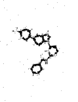 C[C@H](Nc1nccc(-n2cnc3cc(-c4ccc(N)nc4)ccc32)n1)c1ccccc1